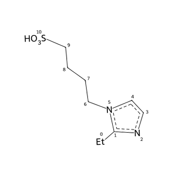 CCc1nccn1CCCCS(=O)(=O)O